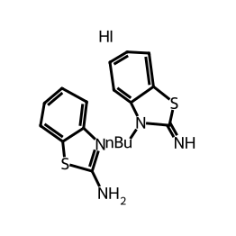 CCCCn1c(=N)sc2ccccc21.I.Nc1nc2ccccc2s1